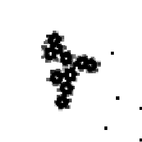 c1ccc(-c2ccc(-c3ccc(N(c4ccc(-c5cc6ccccc6c6ccccc56)cc4)c4ccc5ccccc5c4)cc3-c3ccccc3)cc2)cc1